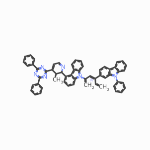 C=C/C(=C\C(=C)n1c2ccccc2c2c(C3N=CC=C(c4nc(-c5ccccc5)nc(-c5ccccc5)n4)C3C)cccc21)c1ccc2c3ccccc3n(-c3ccccc3)c2c1